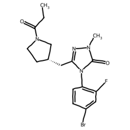 CCC(=O)N1CC[C@@H](Cc2nn(C)c(=O)n2-c2ccc(Br)cc2F)C1